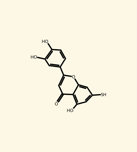 O=c1cc(-c2ccc(O)c(O)c2)oc2cc(S)cc(O)c12